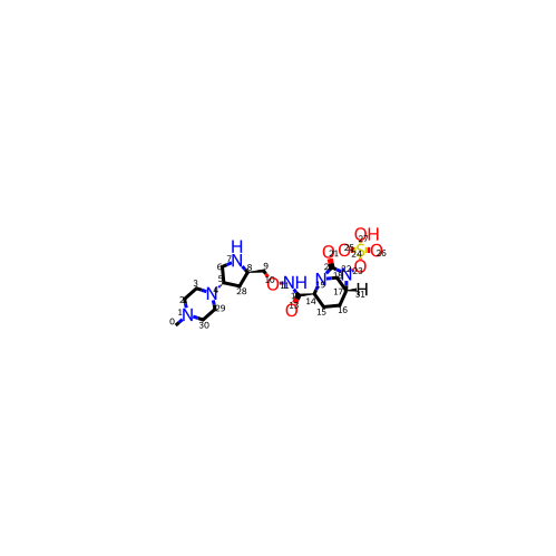 CN1CCN([C@@H]2CN[C@@H](CONC(=O)[C@@H]3CC[C@@H]4CN3C(=O)N4OS(=O)(=O)O)C2)CC1